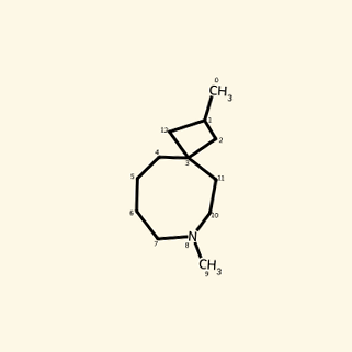 CC1CC2(CCCCN(C)CC2)C1